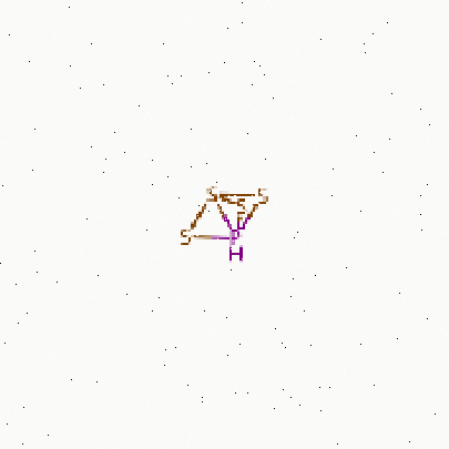 S1[PH]23SS12S3